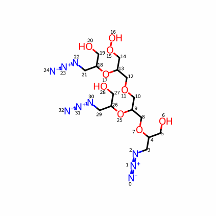 [N-]=[N+]=NCC(CO)OCC(COCC(COO)OC(CO)CN=[N+]=[N-])OC(CO)CN=[N+]=[N-]